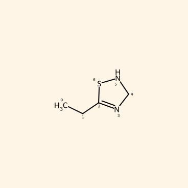 CCC1=NCNS1